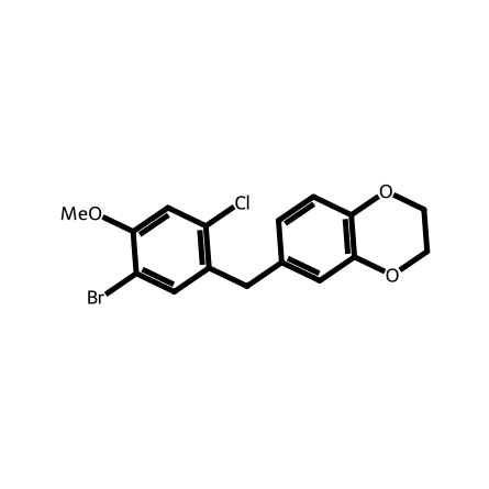 COc1cc(Cl)c(Cc2ccc3c(c2)OCCO3)cc1Br